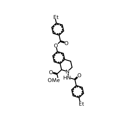 CCc1ccc(C(=O)NN2CCc3cc(OC(=O)c4ccc(CC)cc4)ccc3C2C(=O)OC)cc1